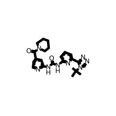 CC(C)(C)n1cnnc1-c1cccc(NC(=O)Nc2cc(C(=O)N3CCCCC3)ccn2)n1